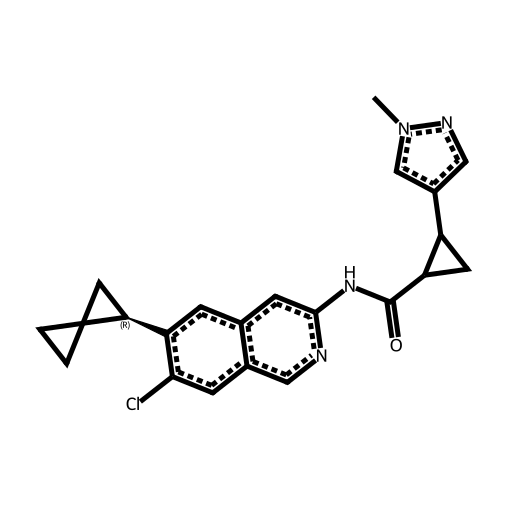 Cn1cc(C2CC2C(=O)Nc2cc3cc([C@@H]4CC45CC5)c(Cl)cc3cn2)cn1